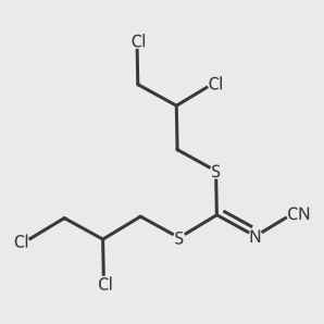 N#CN=C(SCC(Cl)CCl)SCC(Cl)CCl